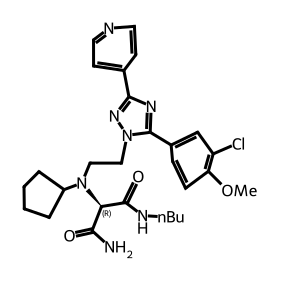 CCCCNC(=O)[C@@H](C(N)=O)N(CCn1nc(-c2ccncc2)nc1-c1ccc(OC)c(Cl)c1)C1CCCC1